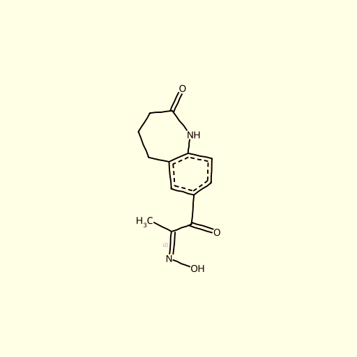 C/C(=N/O)C(=O)c1ccc2c(c1)CCCC(=O)N2